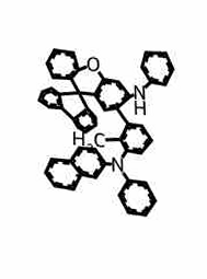 Cc1c(-c2cc3c(cc2Nc2ccccc2)Oc2ccccc2C32c3ccccc3-c3ccccc32)cccc1N(c1ccccc1)c1ccc2ccccc2c1